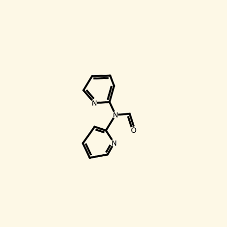 O=CN(c1ccccn1)c1ccccn1